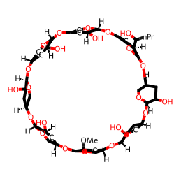 CCCC(O)[C@@H]1CC2COC1O[C@@H]1CO[C@H](O[C@@H]3CO[C@H](O[C@@H]4COC(O[C@@H]5CO[C@H](O[C@@H]6CO[C@H](O[C@@H]7CO[C@H](OC8CO[C@H](O2)[C@H](O)C8)[C@H](O)C7)C(O)C6)[C@H](O)C5)C(OC)C4)C(O)C3)C(O)C1